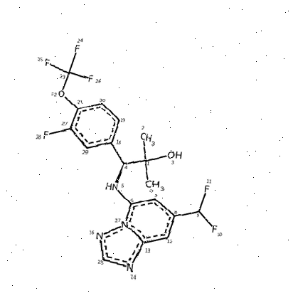 CC(C)(O)[C@@H](Nc1cc(C(F)F)cc2ncnn12)c1ccc(OC(F)(F)F)c(F)c1